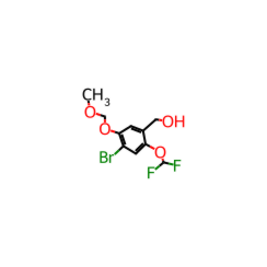 COCOc1cc(CO)c(OC(F)F)cc1Br